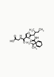 CC[C@H](C)[C@H](NC(=O)C1(C(C)C)C=CCC=C1)c1nc(C(=O)NCC(=O)O)co1